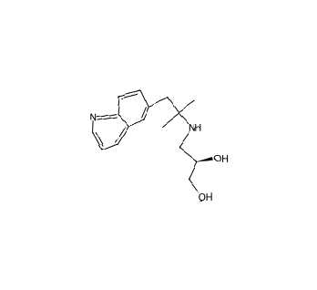 CC(C)(Cc1ccc2ncccc2c1)NC[C@@H](O)CO